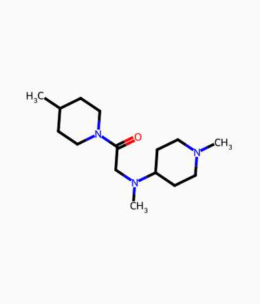 CC1CCN(C(=O)CN(C)C2CCN(C)CC2)CC1